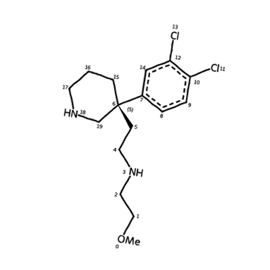 COCCNCC[C@]1(c2ccc(Cl)c(Cl)c2)CCCNC1